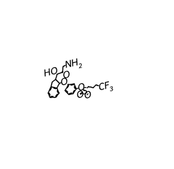 NCC(=O)C(O)C1Cc2ccccc2C1Oc1cccc(OS(=O)(=O)CCCC(F)(F)F)c1